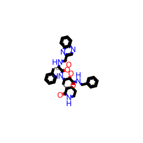 O=C(NCc1ccccc1)C(=O)C(C[C@@H]1CCCNC1=O)NC(=O)[C@H](Cc1ccccc1)NC(=O)c1cnc2ccccc2n1